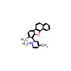 Cc1cc[n+](C)c(-c2c(C)ccc3c2oc2c4ccccc4ccc32)c1